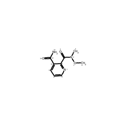 CON(C)C(=O)c1ncccc1C(N)=O